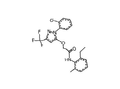 CCc1cccc(C)c1NC(=O)COc1cc(C(F)(F)F)nn1-c1ccccc1Cl